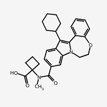 CN(C(=O)c1ccc2c(C3CCCCC3)c3n(c2c1)CCOc1ccccc1-3)C1(C(=O)O)CCC1